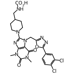 Cn1c(=O)c2c(nc(N3CCC(CNC(=O)O)CC3)n2Cc2nnc(-c3ccc(Cl)c(Cl)c3)o2)n(C)c1=O